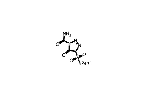 CCCCCS(=O)(=O)C1N=NN(C(N)=O)C1=O